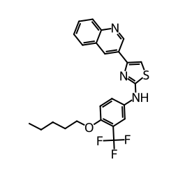 CCCCCOc1ccc(Nc2nc(-c3cnc4ccccc4c3)cs2)cc1C(F)(F)F